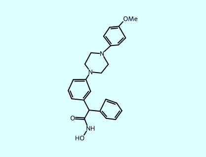 COc1ccc(N2CCN(c3cccc(C(C(=O)NO)c4ccccc4)c3)CC2)cc1